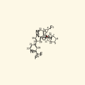 O=C([C@@H]1C[C@H]1F)N1C2CCC1CN(c1ccnn3cc(-c4ccnc(C(F)F)c4)cc13)C2